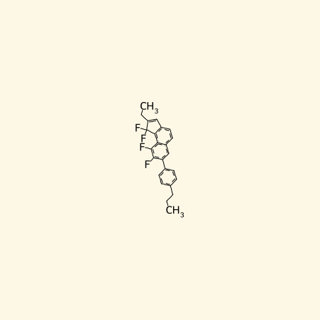 CCCc1ccc(-c2cc3ccc4c(c3c(F)c2F)C(F)(F)C(CC)=C4)cc1